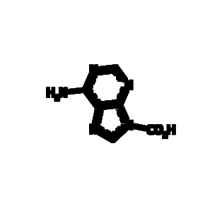 Nc1ncnc2c1ncn2C(=O)O